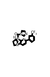 O=C(N1c2nc(-c3cccc(C(F)(F)F)c3)ccc2N2CC[C@H]1C2)n1ccnc1